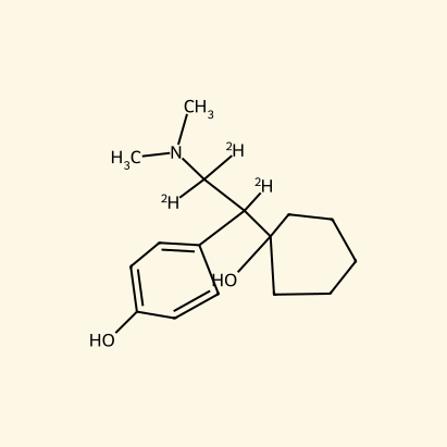 [2H]C([2H])(N(C)C)C([2H])(c1ccc(O)cc1)C1(O)CCCCC1